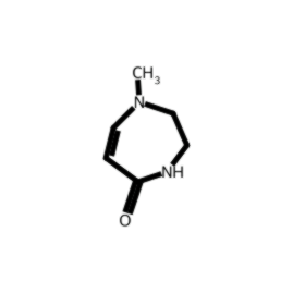 CN1C=CC(=O)NCC1